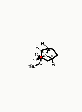 CC(C)(C)OC(=O)N1[C@@H]2CC[C@@H]1[C@@H](F)C(=O)C2